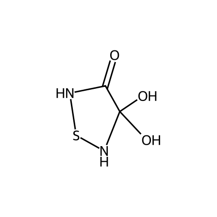 O=C1NSNC1(O)O